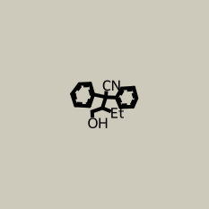 CCC(CO)C(C#N)(c1ccccc1)c1ccccc1